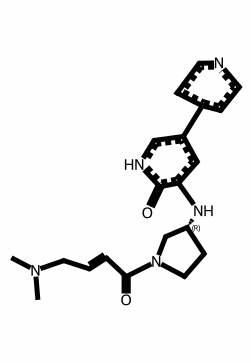 CN(C)CC=CC(=O)N1CC[C@@H](Nc2cc(-c3ccncc3)c[nH]c2=O)C1